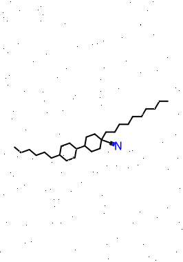 CCCCCCCCCCC1(C#N)CCC(C2CCC(CCCCCC)CC2)CC1